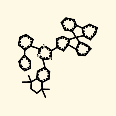 CC1(C)CCC(C)(C)c2cc(-c3nc(-c4ccc5c(c4)-c4ccccc4C54c5ccccc5-c5ccccc54)nc(-c4ccccc4-c4ccccc4)n3)ccc21